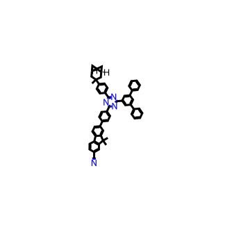 CC1(c2ccc(-c3nc(-c4ccc(-c5ccc6c(c5)C(C)(C)c5cc(C#N)ccc5-6)cc4)nc(-c4cc(-c5ccccc5)cc(-c5ccccc5)c4)n3)cc2)C[C@@H]2CC23C[C@@H]3C1